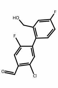 O=Cc1cc(F)c(-c2ccc(F)cc2CO)cc1Cl